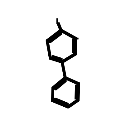 Ic1[c]cc(-c2ccccc2)cc1